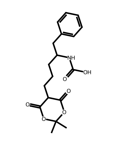 CC1(C)OC(=O)C(CCCC(Cc2ccccc2)NC(=O)O)C(=O)O1